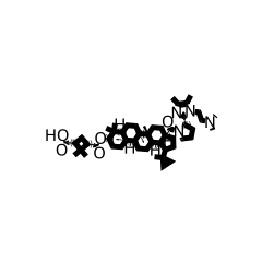 Cc1nc([C@@H]2CCCN2C(=O)[C@]23CCC(C4(C)CC4)[C@@H]2[C@H]2CC[C@@H]4[C@@]5(C)CC[C@H](OC(=O)[C@H]6C[C@@H](C(=O)O)C6(C)C)C(C)(C)[C@@H]5CC[C@@]4(C)[C@]2(C)CC3)n(CCN(C)C)c1C